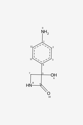 Nc1ccc(C2(O)CNC2=O)cc1